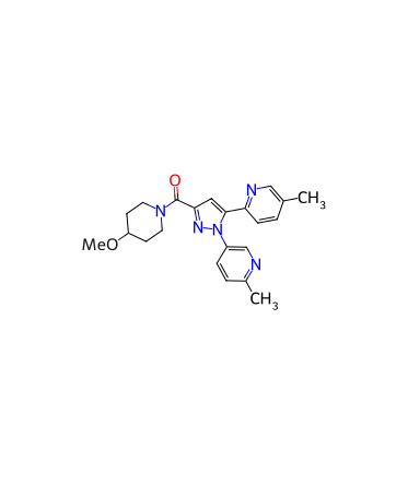 COC1CCN(C(=O)c2cc(-c3ccc(C)cn3)n(-c3ccc(C)nc3)n2)CC1